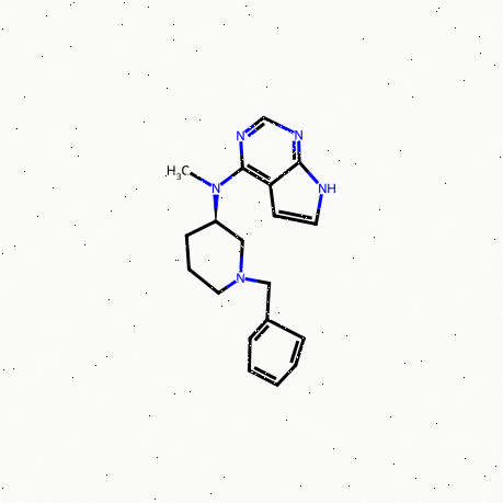 CN(c1ncnc2[nH]ccc12)[C@@H]1CCCN(Cc2ccccc2)C1